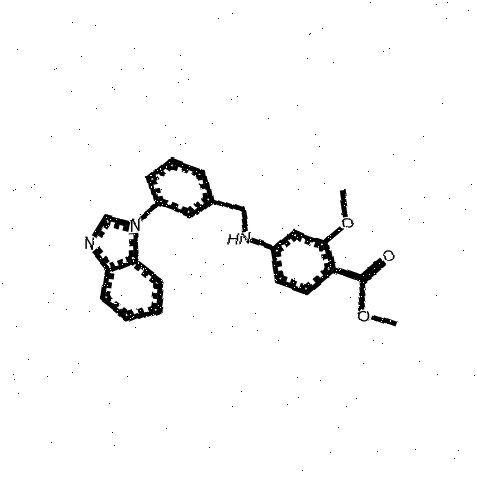 COC(=O)c1ccc(NCc2cccc(-n3cnc4ccccc43)c2)cc1OC